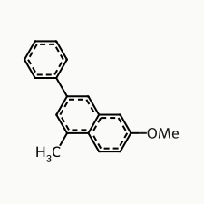 COc1ccc2c(C)cc(-c3ccccc3)cc2c1